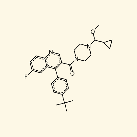 COC(C1CC1)N1CCN(C(=O)c2cnc3ccc(F)cc3c2-c2ccc(C(C)(C)C)cc2)CC1